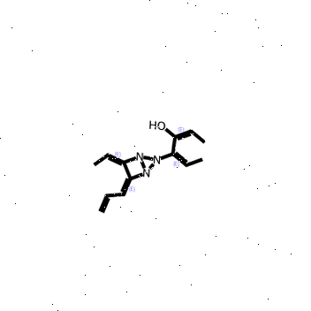 C=C/C=c1\c(=C/C)n2n(C(=C/C)/C(O)=C\C)n12